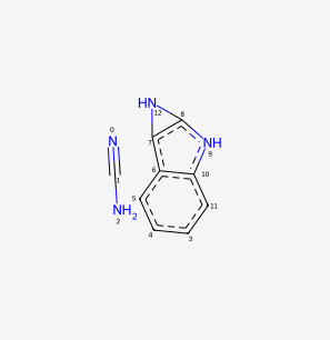 N#CN.c1ccc2c3c([nH]c2c1)N3